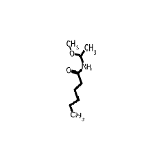 CCCCCC(=O)NC(C)OC